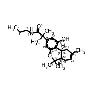 CCCNC(=O)C(C)(C)c1cc(O)c2c(c1)OC(C)(C)[C@@H]1CC=C(C)C[C@@H]21